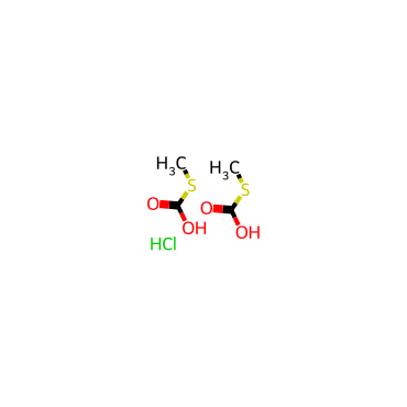 CSC(=O)O.CSC(=O)O.Cl